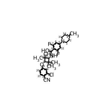 CN1CCN(c2cc(F)c(C(O)N[C@H]3C(C)(C)[C@H](Oc4ccc(C#N)c(Cl)c4)C3(C)C)c(F)c2)CC1